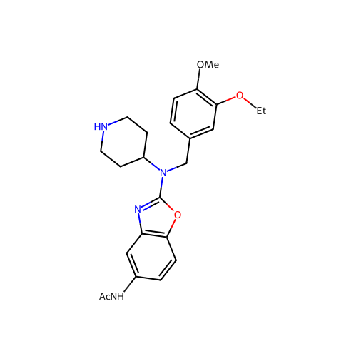 CCOc1cc(CN(c2nc3cc(NC(C)=O)ccc3o2)C2CCNCC2)ccc1OC